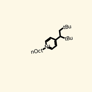 CCCCCCCC[n+]1ccc(C(CC(C)(C)C)C(C)(C)C)cc1